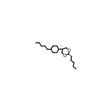 CCCCCC1CCC([C@]2(C)CO[C@H](CCCCC)OC2)CC1